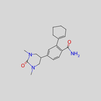 CN1CC(c2ccc(C(N)=O)c(C3=CCCCC3)c2)CN(C)C1=O